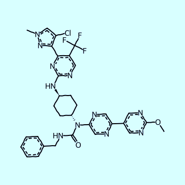 COc1ncc(-c2cnc(N(C(=O)NCc3ccccc3)[C@H]3CC[C@H](Nc4ncc(C(F)(F)F)c(-c5nn(C)cc5Cl)n4)CC3)cn2)cn1